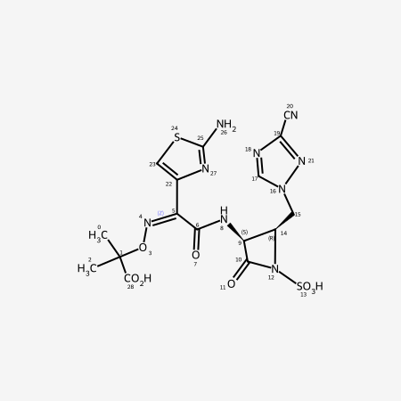 CC(C)(O/N=C(\C(=O)N[C@@H]1C(=O)N(S(=O)(=O)O)[C@@H]1Cn1cnc(C#N)n1)c1csc(N)n1)C(=O)O